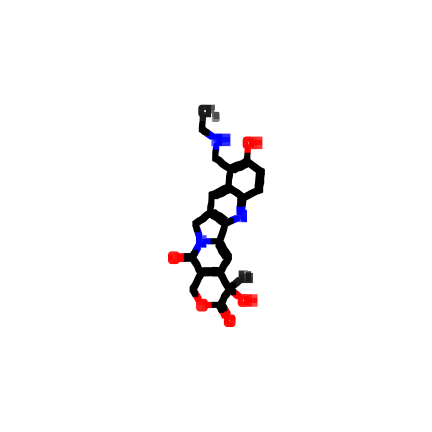 CCC1(O)C(=O)OCc2c1cc1n(c2=O)Cc2cc3c(CNCC(F)(F)F)c(O)ccc3nc2-1